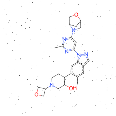 Cc1nc(N2CC3CC2CO3)cc(-n2ncc3cc(C)c(C4CCN(C5COC5)CC4O)cc32)n1